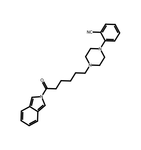 N#Cc1ccccc1N1CCN(CCCCCC(=O)n2cc3ccccc3c2)CC1